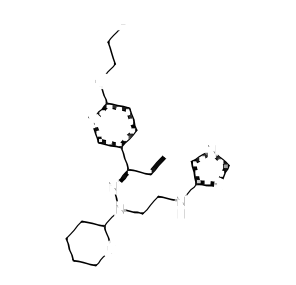 C=C/C(=N\N(CCNc1cncs1)C1CCCCO1)c1ccc(OCCF)nc1